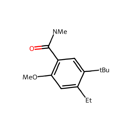 CCc1cc(OC)c(C(=O)NC)cc1C(C)(C)C